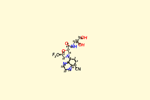 N#Cc1ccc(N2CC(C(=O)NC[C@@H](O)CO)OC(C(F)(F)F)C2)c2nccnc12